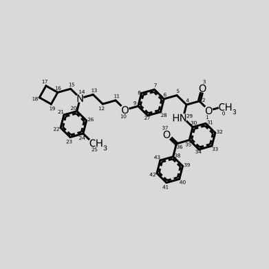 COC(=O)C(Cc1ccc(OCCCN(CC2CCC2)c2cccc(C)c2)cc1)Nc1ccccc1C(=O)c1ccccc1